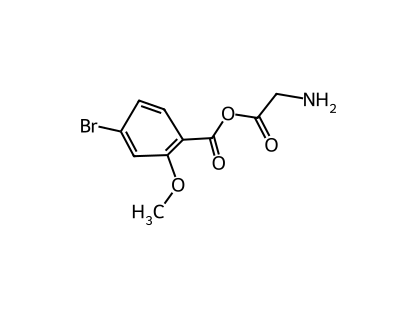 COc1cc(Br)ccc1C(=O)OC(=O)CN